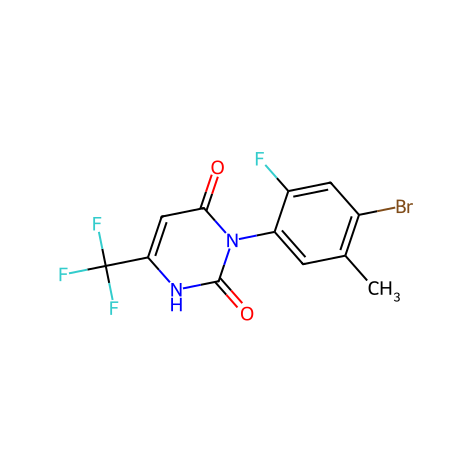 Cc1cc(-n2c(=O)cc(C(F)(F)F)[nH]c2=O)c(F)cc1Br